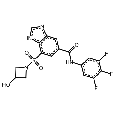 O=C(Nc1cc(F)c(F)c(F)c1)c1cc(S(=O)(=O)N2CC(O)C2)c2[nH]cnc2c1